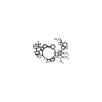 C=CC(=O)N1CCO[C@H]2CN(C(=O)N(C)[C@H](C(=O)N[C@H]3CN4CCC[C@H](C4)c4ccc5c(c4)c(c(-c4cccnc4[C@H](C)OC)n5CC(F)(F)F)CC(C)(C)COC(=O)[C@@H]4CCCN(N4)C3=O)C(C)C)C[C@H]21